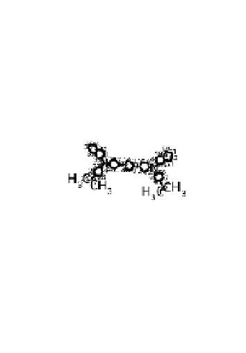 CC(C)c1ccc(N(c2ccc(-c3ccc(-c4ccc(N(c5ccc(C(C)C)cc5)c5ccc6ccccc6c5)cc4)cc3)cc2)c2ccc3ccccc3c2)cc1